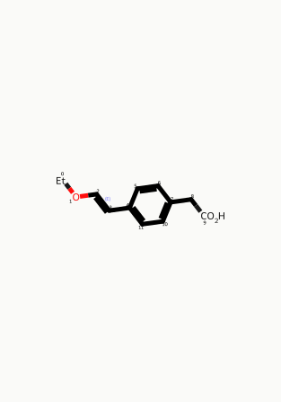 CCO/C=C/c1ccc(CC(=O)O)cc1